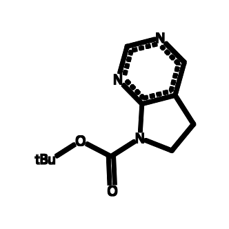 CC(C)(C)OC(=O)N1CCc2cncnc21